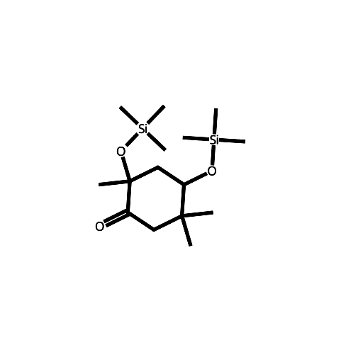 CC1(O[Si](C)(C)C)CC(O[Si](C)(C)C)C(C)(C)CC1=O